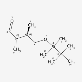 C[C@H](C=O)[C@@H](C)CO[Si](C)(C)C(C)(C)C